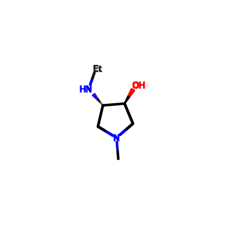 CCN[C@H]1CN(C)C[C@@H]1O